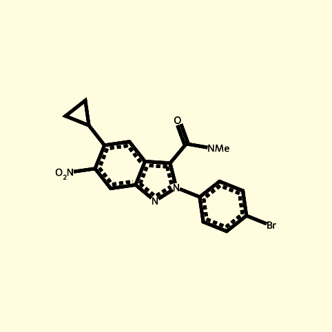 CNC(=O)c1c2cc(C3CC3)c([N+](=O)[O-])cc2nn1-c1ccc(Br)cc1